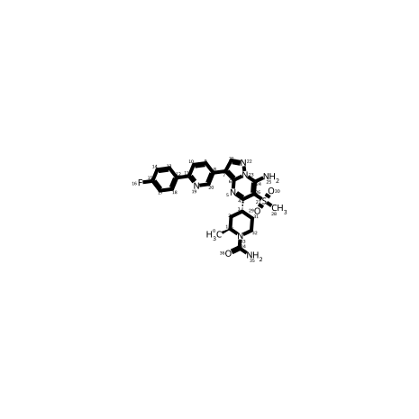 C[C@H]1C[C@H](c2nc3c(-c4ccc(-c5ccc(F)cc5)nc4)cnn3c(N)c2S(C)(=O)=O)CCN1C(N)=O